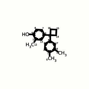 Cc1ccc(C2(c3ccc(O)c(C)c3)CCC2)cc1C